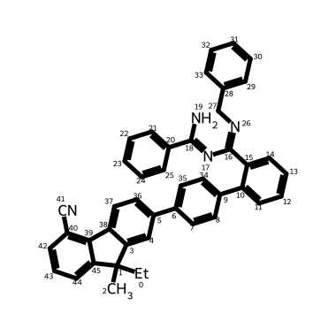 CCC1(C)c2cc(-c3ccc(-c4ccccc4C(/N=C(\N)c4ccccc4)=N/Cc4ccccc4)cc3)ccc2-c2c(C#N)cccc21